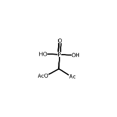 CC(=O)OC(C(C)=O)P(=O)(O)O